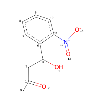 CC(=O)CC(O)c1ccccc1[N+](=O)[O-]